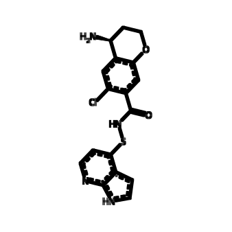 N[C@H]1CCOc2cc(C(=O)NSc3ccnc4[nH]ccc34)c(Cl)cc21